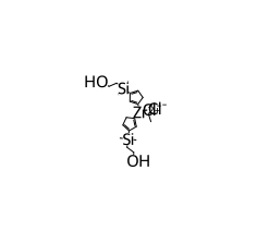 C[CH]=[Zr+2]([C]1=CC([Si](C)(C)CCO)=CC1)[C]1=CC([Si](C)(C)CCO)=CC1.[Cl-].[Cl-]